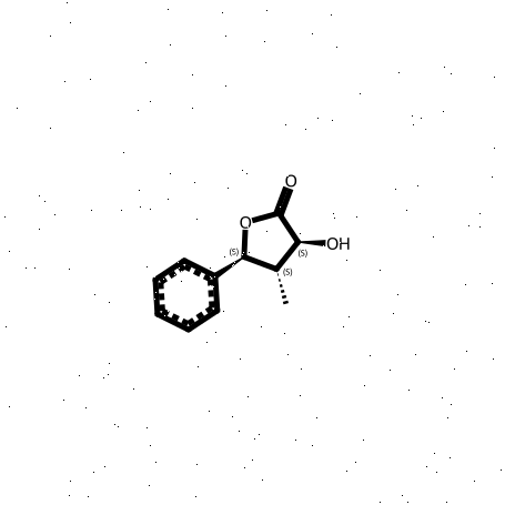 C[C@H]1[C@H](O)C(=O)O[C@@H]1c1ccccc1